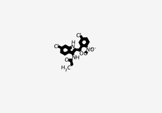 CCC(=O)Nc1c(C(=O)c2cc(Cl)ccc2[N+](=O)[O-])[nH]c2cc(Cl)ccc12